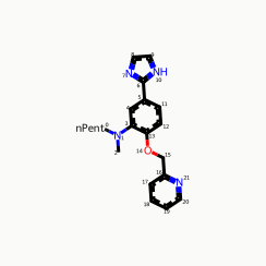 CCCCCN(C)c1cc(-c2ncc[nH]2)ccc1OCc1ccccn1